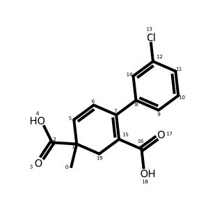 CC1(C(=O)O)C=CC(c2cccc(Cl)c2)=C(C(=O)O)C1